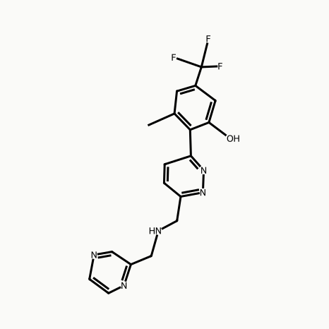 Cc1cc(C(F)(F)F)cc(O)c1-c1ccc(CNCc2cnccn2)nn1